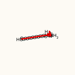 CCCCc1nc2c(N)nnc(OC(C)C)c2n1Cc1ccc(CNC(=O)CCOCCOCCOCCOCCOCCOCCOCCOCCOCCOCCOCCOCCC(=O)O)cc1